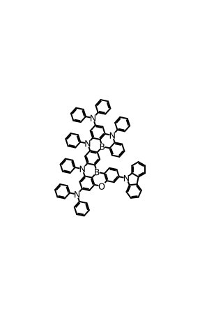 c1ccc(N(c2ccccc2)c2cc3c4c(c2)N(c2ccccc2)c2cc5c(cc2B4c2ccc(-n4c6ccccc6c6ccccc64)cc2O3)B2c3ccccc3N(c3ccccc3)c3cc(N(c4ccccc4)c4ccccc4)cc(c32)N5c2ccccc2)cc1